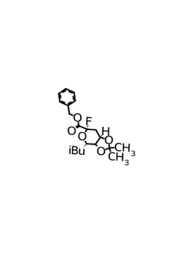 CC[C@@H](C)C1O[C@@](F)(C(=O)OCc2ccccc2)C[C@H]2OC(C)(C)OC12